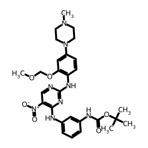 COCOc1cc(N2CCN(C)CC2)ccc1Nc1ncc([N+](=O)[O-])c(Nc2cccc(NC(=O)OC(C)(C)C)c2)n1